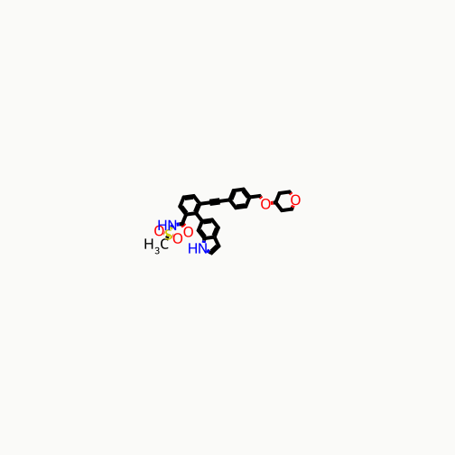 CS(=O)(=O)NC(=O)c1cccc(C#Cc2ccc(COC3CCOCC3)cc2)c1-c1ccc2cc[nH]c2c1